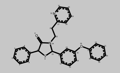 O=C1C(c2ccccc2)SC(c2cccc(Oc3ccccc3)c2)N1CCc1ccccn1